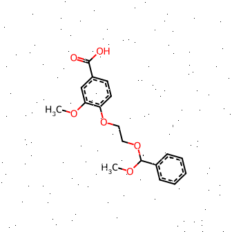 COc1cc(C(=O)O)ccc1OCCOC(OC)c1ccccc1